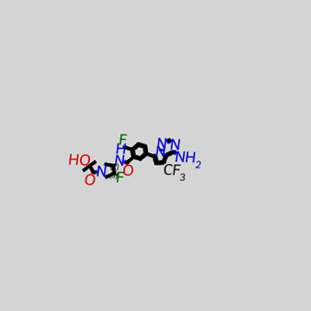 CC(C)(O)C(=O)N1C[C@H](F)[C@H](NC(=O)c2cc(-c3cc(C(F)(F)F)c4c(N)ncnn34)ccc2CF)C1